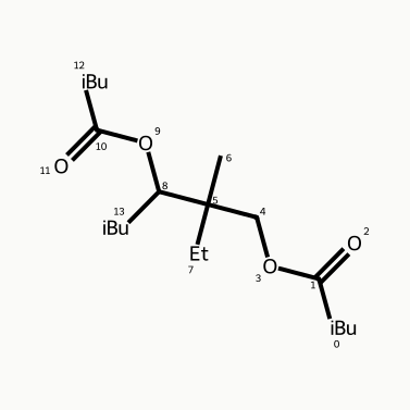 CCC(C)C(=O)OCC(C)(CC)C(OC(=O)C(C)CC)C(C)CC